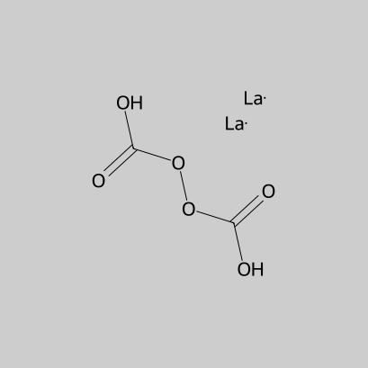 O=C(O)OOC(=O)O.[La].[La]